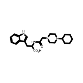 O=C(CN1CCN(C2CCCCC2)CC1)NC(Cc1c[nH]c2ccccc12)C(=O)O